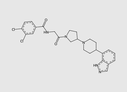 O=C(NCC(=O)N1CCC(N2CCC(c3cccc4cn[nH]c34)CC2)C1)c1ccc(Cl)c(Cl)c1